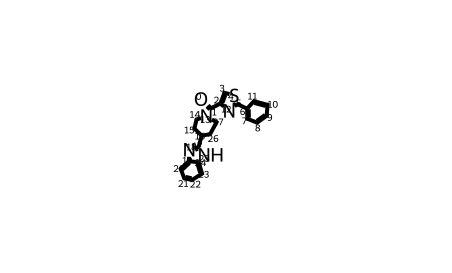 O=C(c1csc(-c2ccccc2)n1)N1CCC(c2nc3ccccc3[nH]2)CC1